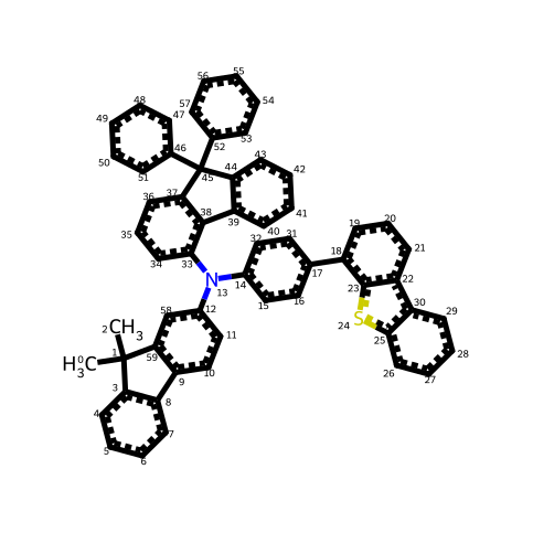 CC1(C)c2ccccc2-c2ccc(N(c3ccc(-c4cccc5c4sc4ccccc45)cc3)c3cccc4c3-c3ccccc3C4(c3ccccc3)c3ccccc3)cc21